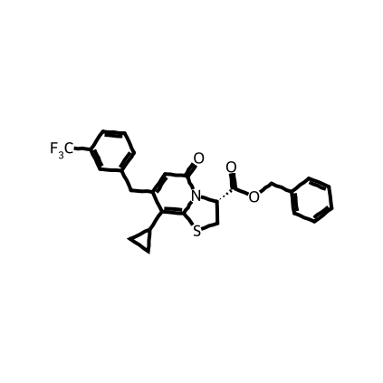 O=C(OCc1ccccc1)[C@@H]1CSc2c(C3CC3)c(Cc3cccc(C(F)(F)F)c3)cc(=O)n21